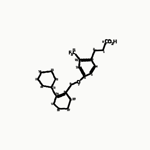 O=C(O)CCc1ccc(OCC2=C(C3CCCCC3)CCCC2)cc1C(F)(F)F